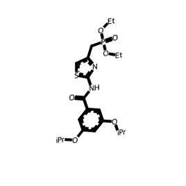 CCOP(=O)(Cc1csc(NC(=O)c2cc(OC(C)C)cc(OC(C)C)c2)n1)OCC